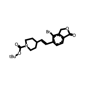 CC(C)(C)OC(=O)N1CCC(C=Cc2ccc3c(c2Br)COC3=O)CC1